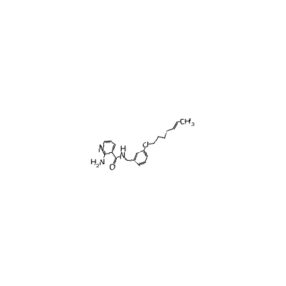 CC=CCCCCOc1cccc(CNC(=O)c2cccnc2N)c1